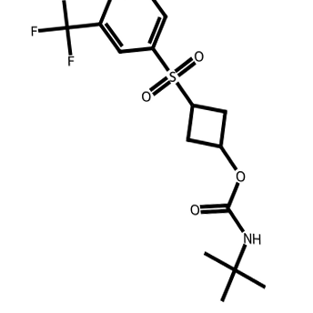 CC(C)(C)NC(=O)OC1CC(S(=O)(=O)c2cccc(C(F)(F)F)c2)C1